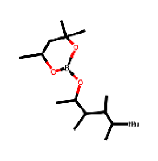 CC1CC(C)(C)OB(OC(C)C(C)C(C)C(C)C(C)(C)C)O1